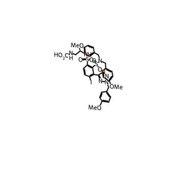 COc1ccc(CN(Cc2ccc(OC)cc2)S(=O)(=O)c2c(S(=O)(=O)N[C@H](C)CNC(=O)O)ccc(I)c2-c2nnn(Cc3ccc(OC)cc3)n2)cc1